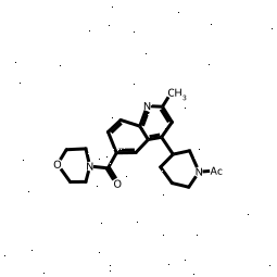 CC(=O)N1CCCC(c2cc(C)nc3ccc(C(=O)N4CCOCC4)cc23)C1